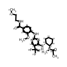 COCCNC(=O)c1ccc(Nc2ncc(C(F)(F)F)c(N[C@@H]3CCCC[C@H]3N(C)C(C)=O)n2)c(OC)c1